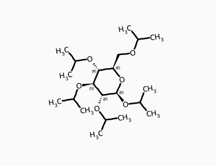 CC(C)OC[C@H]1O[C@@H](OC(C)C)[C@H](OC(C)C)[C@@H](OC(C)C)[C@@H]1OC(C)C